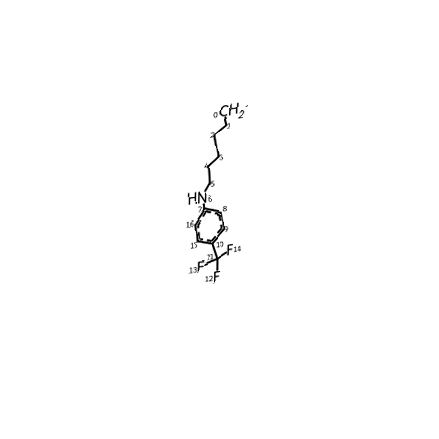 [CH2]CCCCCNc1ccc(C(F)(F)F)cc1